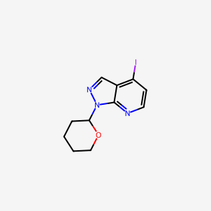 Ic1ccnc2c1cnn2C1CCCCO1